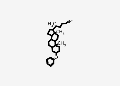 CC(C)CCCC(C)C1CCC2C3CCC4CC(Oc5ccccc5)CCC4(C)C3CCC12C